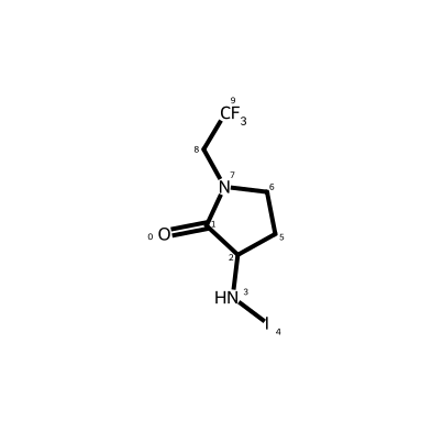 O=C1C(NI)CCN1CC(F)(F)F